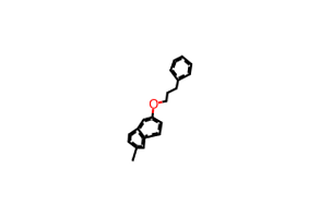 Cc1ccc2cc(OCCCc3ccccc3)ccc2c1